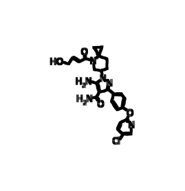 NC(=O)c1c(-c2ccc(Oc3ccc(Cl)cn3)cc2)nn(C2CCC3(CC3)N(C(=O)C=CCO)C2)c1N